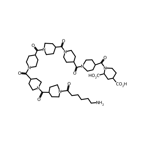 NCCCCCC(=O)N1CCC(C(=O)N2CCC(C(=O)N3CCC(C(=O)N4CCC(C(=O)N5CCC(C(=O)N6CCC(C(=O)N7CCC(C(=O)O)CC7C(=O)O)CC6)CC5)CC4)CC3)CC2)CC1